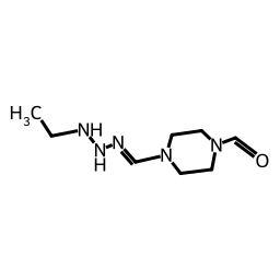 CCNNN=CN1CCN(C=O)CC1